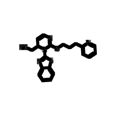 N#CCC1C=CN=C(OCCCc2ccccn2)N1c1nc2ccccc2s1